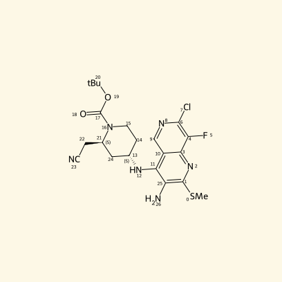 CSc1nc2c(F)c(Cl)ncc2c(N[C@H]2CCN(C(=O)OC(C)(C)C)[C@H](CC#N)C2)c1N